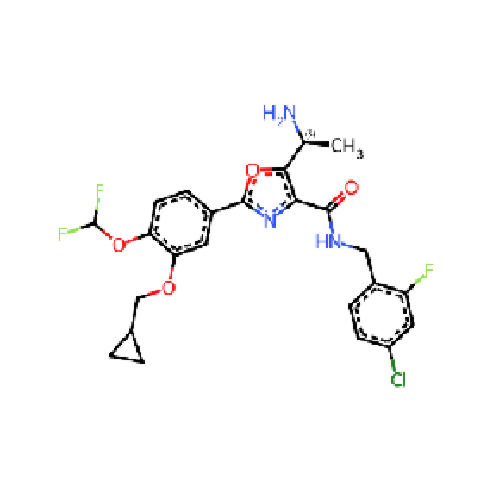 C[C@H](N)c1oc(-c2ccc(OC(F)F)c(OCC3CC3)c2)nc1C(=O)NCc1ccc(Cl)cc1F